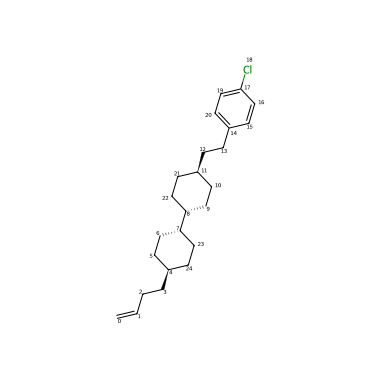 C=CCC[C@H]1CC[C@H]([C@H]2CC[C@H](CCc3ccc(Cl)cc3)CC2)CC1